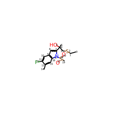 CCSCC(C)(O)c1cc2cc(F)c(C)cc2n1S(C)(=O)=O